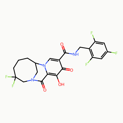 O=C(NCc1c(F)cc(F)cc1F)c1cn2c(c(O)c1=O)C(=O)N1CC2CCCC(F)(F)C1